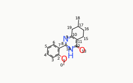 COc1ccccc1-c1nc2c(c(=O)[nH]1)CCC(C)C2